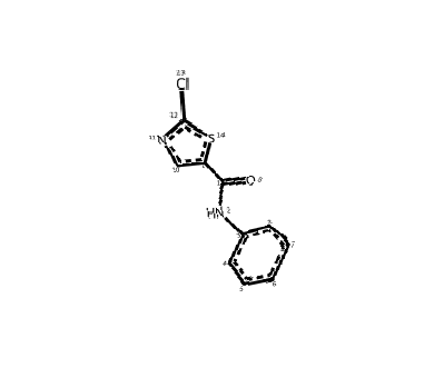 O=C(Nc1ccccc1)c1cnc(Cl)s1